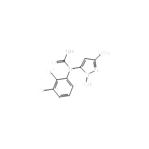 Cn1nc(C(C)(C)C)cc1N(C(N)=O)c1cccc(Cl)c1Cl